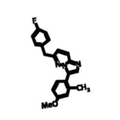 COc1ccc(-c2cnc3ccc(Cc4ccc(F)cc4)nn23)c(C)c1